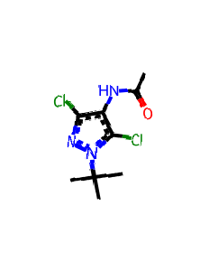 CC(=O)Nc1c(Cl)nn(C(C)(C)C)c1Cl